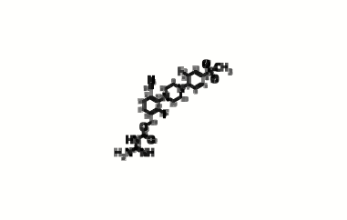 CS(=O)(=O)c1ccc(N2CCN(c3c(C#N)ccc(COC(=O)NC(=N)N)c3F)CC2)c(F)c1